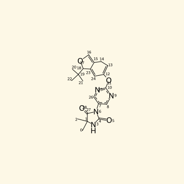 CC1(C)NC(=O)N(c2cnc(OC3=CCC4=COC(C(C)(C)C)C4=C3)nc2)C1=O